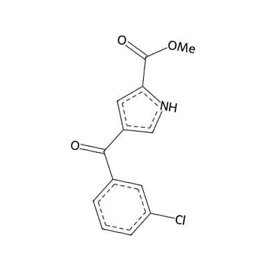 COC(=O)c1cc(C(=O)c2cccc(Cl)c2)c[nH]1